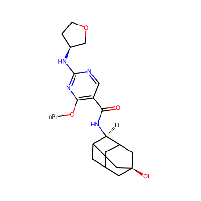 CCCOc1nc(N[C@H]2CCOC2)ncc1C(=O)N[C@H]1C2CC3CC1C[C@@](O)(C3)C2